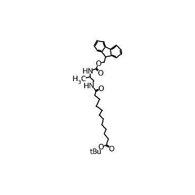 CC(CNC(=O)CCCCCCCCCCC(=O)OC(C)(C)C)NC(=O)OCC1c2ccccc2-c2ccccc21